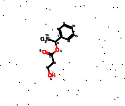 O=C(CCO)OC(c1ccccc1)[N+](=O)[O-]